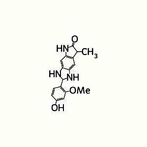 COc1cc(O)ccc1C1Nc2cc3c(cc2N1)C(C)C(=O)N3